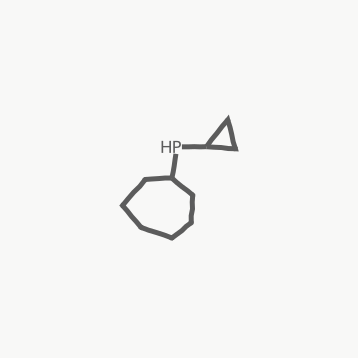 C1CCCC(PC2CC2)CC1